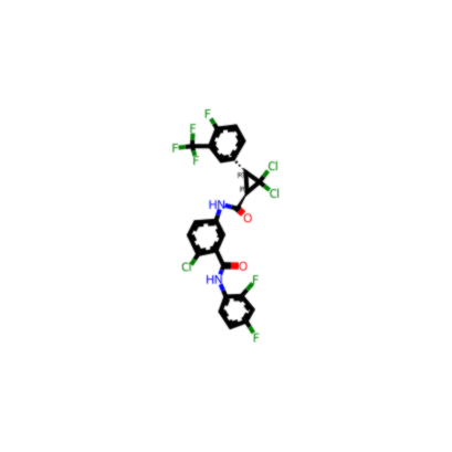 O=C(Nc1ccc(F)cc1F)c1cc(NC(=O)[C@H]2[C@H](c3ccc(F)c(C(F)(F)F)c3)C2(Cl)Cl)ccc1Cl